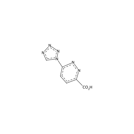 O=C(O)c1ccc(-n2cnnn2)nn1